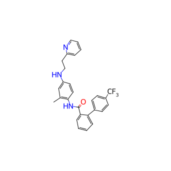 Cc1cc(NCCc2ccccn2)ccc1NC(=O)c1ccccc1-c1ccc(C(F)(F)F)cc1